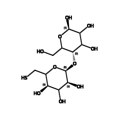 OCC1O[C@@H](O)C(O)C(O)[C@@H]1O[C@@H]1OC(CS)[C@H](O)C(O)[C@@H]1O